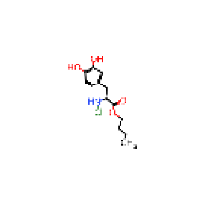 CCCCOC(=O)[C@H](Cc1ccc(O)c(O)c1)NCl